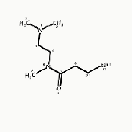 CN(C)CCN(C)C(=O)CCC(C)(C)C